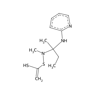 C=C(S)SN(C)C(C)(CC)Nc1ccccn1